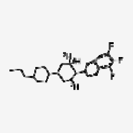 [2H]C1CC(C2CCC(CCC)CC2)CC([2H])([2H])C1c1ccc2c(F)c(F)c(F)cc2c1